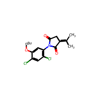 CCCCOc1cc(N2C(=O)CC(=C(C)C)C2=O)c(Cl)cc1Cl